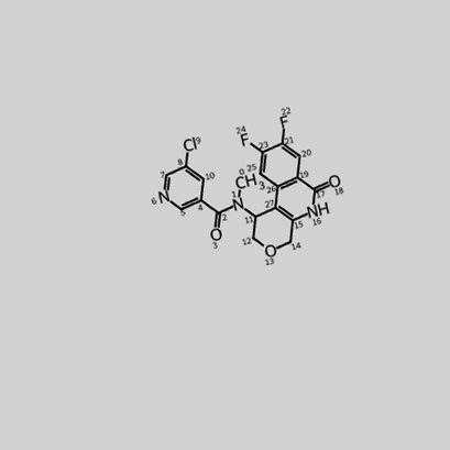 CN(C(=O)c1cncc(Cl)c1)C1COCc2[nH]c(=O)c3cc(F)c(F)cc3c21